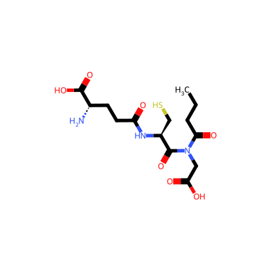 CCCC(=O)N(CC(=O)O)C(=O)[C@H](CS)NC(=O)CC[C@H](N)C(=O)O